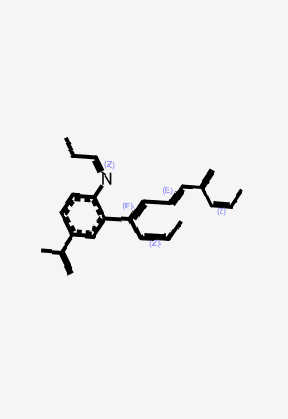 C=C(/C=C\C)/C=C/C=C(\C=C/C)c1cc(C(=C)C)ccc1/N=C\CC